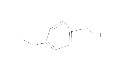 O=COc1ccc(OC=O)nc1